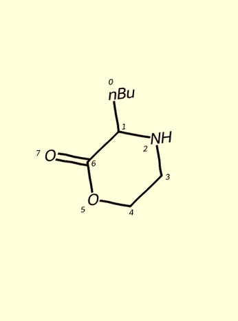 CCCCC1NCCOC1=O